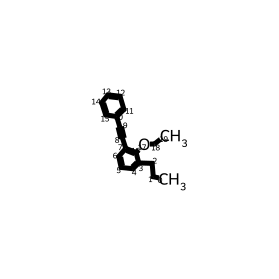 CCCc1cccc(C#Cc2ccccc2)c1OCC